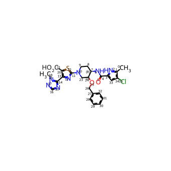 Cc1[nH]c(C(=O)N[C@@H]2CCN(c3nc(-c4ncnn4C)c(C(=O)O)s3)C[C@@H]2OCc2ccccc2)cc1Cl